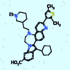 CCN1CCCC(CCN2CCn3c(c(C4CCCCC4)c4ccc(C(=O)O)cc43)-c3ccc4nc(-c5cc(C)sc5C)ccc4c32)C1